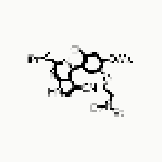 CCN(CC)CCOc1cc(-c2nc(SC(C)C)nc3[nH]cc(C#N)c23)c(Cl)cc1OC